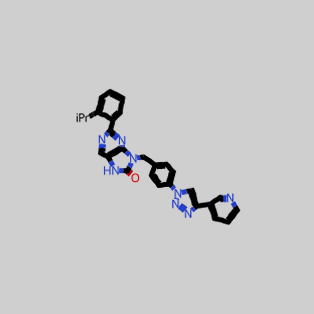 CC(C)c1ccccc1-c1ncc2[nH]c(=O)n(Cc3ccc(-n4cc(-c5cccnc5)nn4)cc3)c2n1